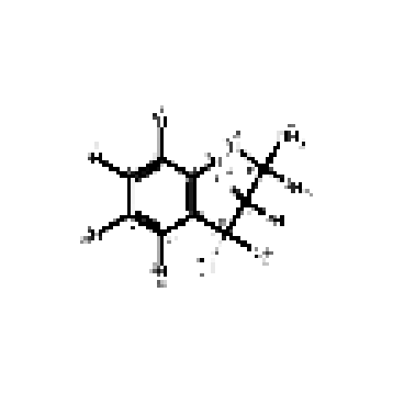 [2H]c1c([2H])c([2H])c([C@]([2H])(O)C([2H])([2H])C([2H])([2H])N)c([2H])c1[2H]